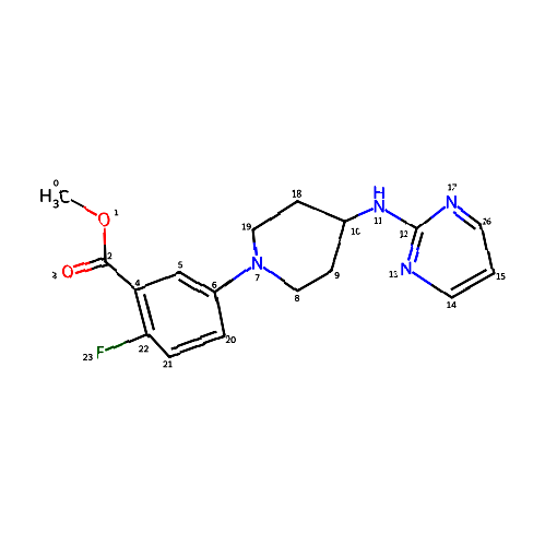 COC(=O)c1cc(N2CCC(Nc3ncccn3)CC2)ccc1F